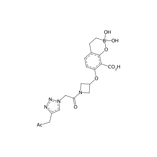 CC(=O)Cc1cn(CC(=O)N2CC(Oc3ccc4c(c3C(=O)O)O[B-](O)(O)CC4)C2)nn1